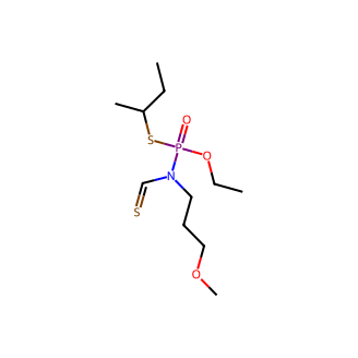 CCOP(=O)(SC(C)CC)N(C=S)CCCOC